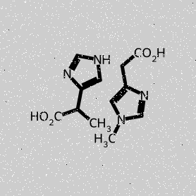 CC(C(=O)O)c1c[nH]cn1.Cn1cnc(CC(=O)O)c1